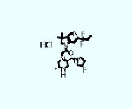 CCC(F)(F)c1cc2c(cn1)C(C)(C)CN2C(=O)CN1C[C@@H](C)NC[C@@H]1CN1CC[C@@H](F)C1.Cl